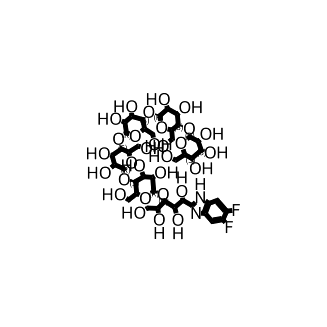 OCC(O)[C@@H](O[C@H]1OC(CO)[C@@H](O[C@H]2OC(CO)[C@@H](O[C@H]3OC(CO)[C@@H](O[C@H]4OC(CO)[C@@H](O[C@H]5OC(CO)[C@@H](O)[C@H](O)C5O)C(O)C4O)C(O)C3O)C(O)C2O)C(O)C1O)C(O)C(O)c1nc2cc(F)c(F)cc2[nH]1